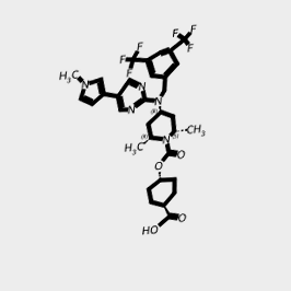 C[C@@H]1C[C@H](N(Cc2cc(C(F)(F)F)cc(C(F)(F)F)c2)c2ncc(-c3ccn(C)c3)cn2)C[C@H](C)N1C(=O)O[C@H]1CC[C@H](C(=O)O)CC1